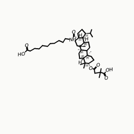 CC(C)[C@@H]1CC[C@]2(C(=O)NCCCCCCCCCCC(=O)O)CC[C@]3(C)[C@H](CCC4[C@@]5(C)CC[C@H](OC(=O)CC(C)(C)C(=O)O)C(C)(C)[C@@H]5CC[C@]43C)[C@@H]12